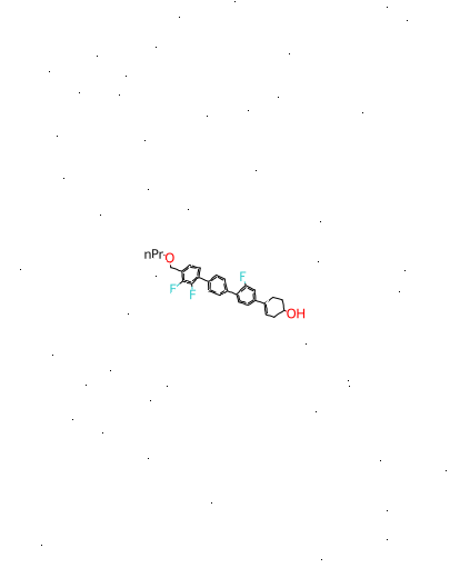 CCCOCc1ccc(-c2ccc(-c3ccc(C4=CCC(O)CC4)cc3F)cc2)c(F)c1F